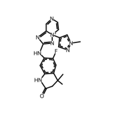 Cn1cc([N+]23C=CN=CC2=NC(Nc2cc4c(cc2F)C(C)(C)CC(=O)N4)=N3)cn1